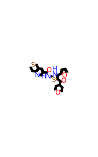 O=C(NC1NC(c2ccco2)=C(C(=O)C2CCOCC2)S1)c1cnc2c(c1)CSCC2